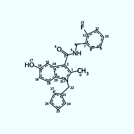 Cc1c(C(=O)NCc2ccccc2F)c2cc(O)ccc2n1Cc1cccs1